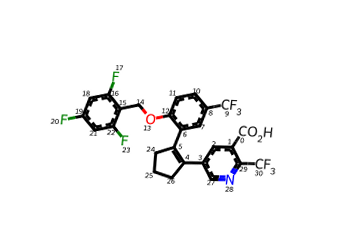 O=C(O)c1cc(C2=C(c3cc(C(F)(F)F)ccc3OCc3c(F)cc(F)cc3F)CCC2)cnc1C(F)(F)F